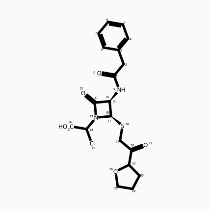 O=C(Cc1ccccc1)N[C@@H]1C(=O)N(C(Cl)C(=O)O)[C@@H]1SCC(=O)C1CCCO1